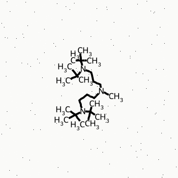 CN(CCCN(C(C)(C)C)C(C)(C)C)CCCN(C(C)(C)C)C(C)(C)C